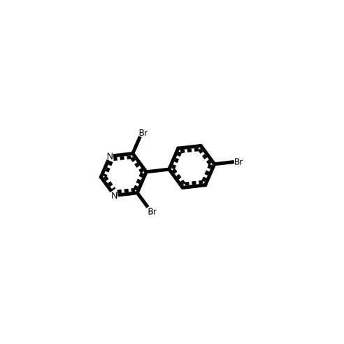 Brc1ccc(-c2c(Br)ncnc2Br)cc1